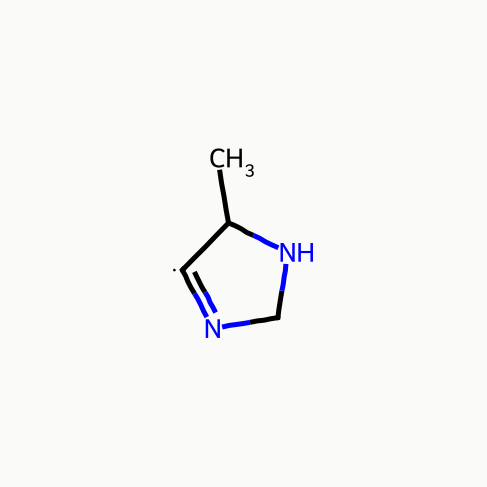 CC1[C]=NCN1